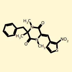 CN1C(=O)C(C)(Cc2ccccc2)N(C)C(=O)/C1=C/c1ccsc1[N+](=O)[O-]